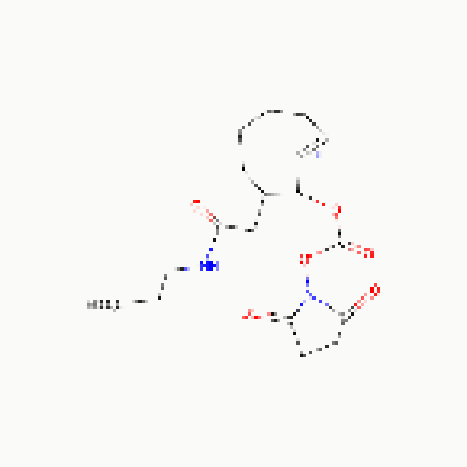 CCOC(=O)CCNC(=O)CC1CCCC/C=C/C1OC(=O)ON1C(=O)CCC1=O